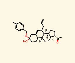 C=CCC1C=C2CC(O)(OCc3ccc(C)cc3)CC[C@]2(C)[C@H]2CC[C@]3(C)[C@@H](C(C)=O)CC[C@H]3[C@H]12